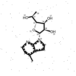 Cc1ccnc2c1ccn2[C@@H]1O[C@H]([C@H](C)O)[C@@H](O)[C@H]1O